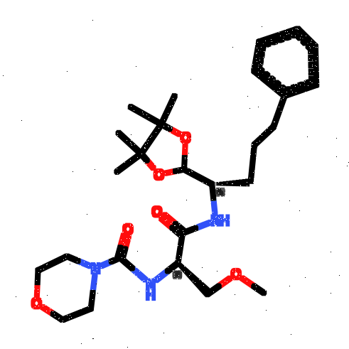 COC[C@@H](NC(=O)N1CCOCC1)C(=O)N[C@@H](CCCc1ccccc1)C1OC(C)(C)C(C)(C)O1